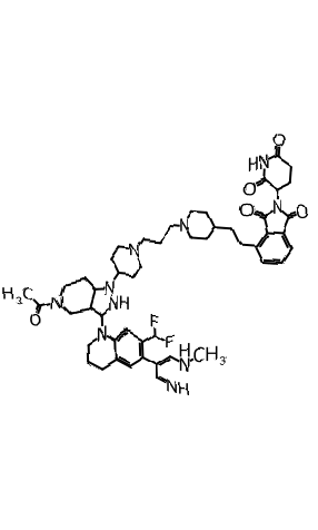 CN/C=C(\C=N)c1cc2c(cc1C(F)F)N(C1NN(C3CCN(CCCN4CCC(CCc5cccc6c5C(=O)N(C5CCC(=O)NC5=O)C6=O)CC4)CC3)C3CCN(C(C)=O)CC13)CCC2